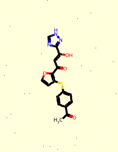 CC(=O)c1ccc(Sc2ccoc2C(=O)C=C(O)c2nc[nH]n2)cc1